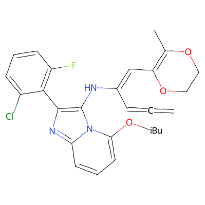 C=C=C/C(=C\C1=C(C)OCCO1)Nc1c(-c2c(F)cccc2Cl)nc2cccc(OC(C)CC)n12